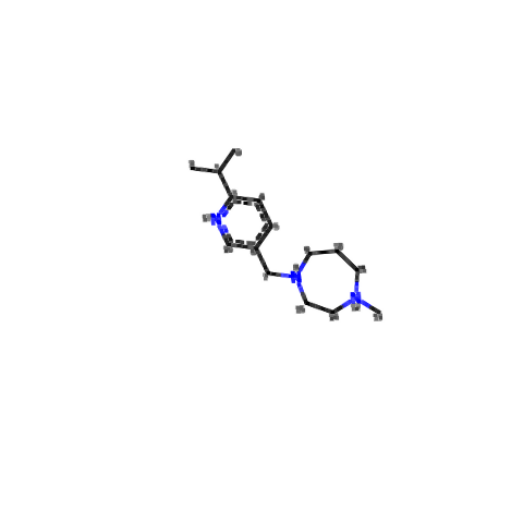 CC(C)c1ccc(CN2CCCN(C)CC2)cn1